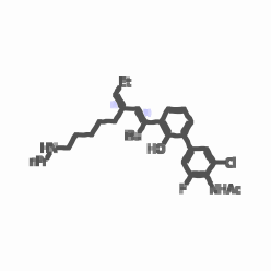 CC/C=C(\C=C(\c1cccc(-c2cc(F)c(NC(C)=O)c(Cl)c2)c1O)C(C)CC)CCCCCNCCC